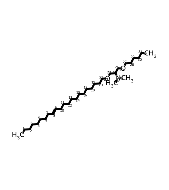 CCCCCCCCC=CCCCCCCCCCCCCOCC(COCCCCCC)N(C)C